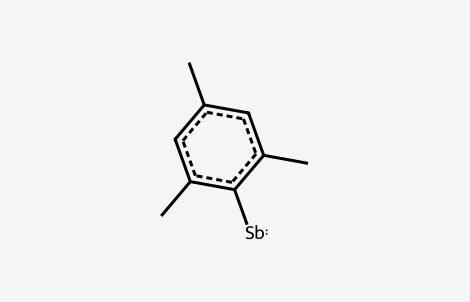 Cc1cc(C)[c]([Sb])c(C)c1